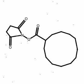 O=C(ON1C(=O)CCC1=O)C1CCCCCCCCCCC1